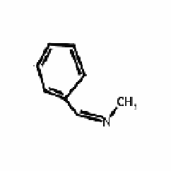 C/N=C\c1c[c]ccc1